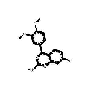 COc1ccc(-c2nc(N)nc3cc(Cl)ccc23)cc1OC